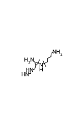 CC(C)(CCCCN)NC1(C)C(N)C1CNC=N